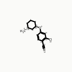 C[C@@H]1CCC[C@@H](Oc2ccc(C#N)c(Cl)c2)C1